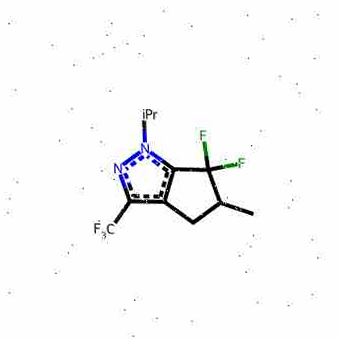 CC(C)n1nc(C(F)(F)F)c2c1C(F)(F)C(C)C2